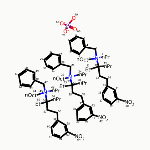 CCCCCCCC[N+](CCC)(Cc1ccccc1)C(CC)(CCC)CCc1cccc([N+](=O)[O-])c1.CCCCCCCC[N+](CCC)(Cc1ccccc1)C(CC)(CCC)CCc1cccc([N+](=O)[O-])c1.CCCCCCCC[N+](CCC)(Cc1ccccc1)C(CC)(CCC)CCc1cccc([N+](=O)[O-])c1.O=P([O-])([O-])[O-]